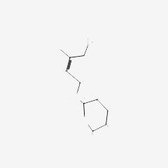 CC(=CCOC1CCCCO1)CBr